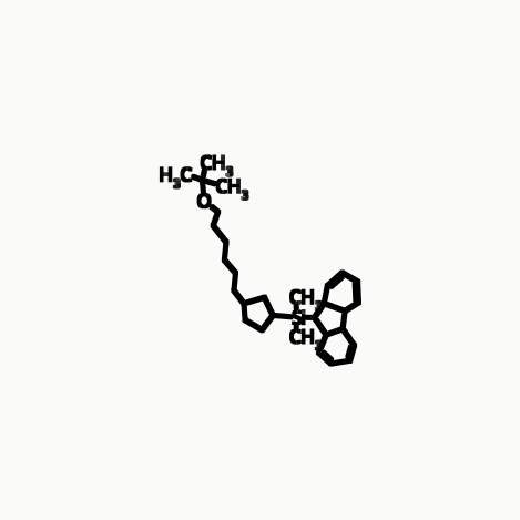 CC(C)(C)OCCCCCCC1CCC([Si](C)(C)C2C3C=CC=CC3C3C=CC=CC32)C1